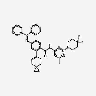 Cc1cc(NC(=O)c2ccc(N=C(c3ccccc3)c3ccccc3)cc2C2=CCC3(CC2)CC3)nc(N2CCC(F)(F)CC2)n1